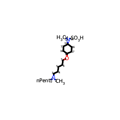 CCCCCN(C)CCCCCOC1CCC(N(C)S(=O)(=O)O)CC1